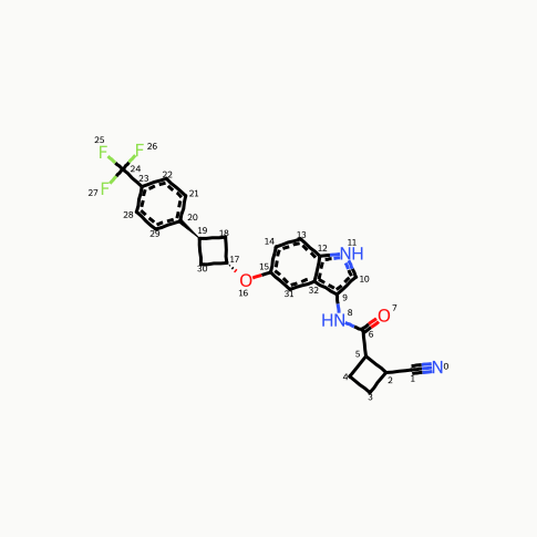 N#CC1CCC1C(=O)Nc1c[nH]c2ccc(O[C@H]3C[C@H](c4ccc(C(F)(F)F)cc4)C3)cc12